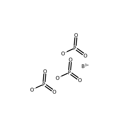 O=P(=O)[O-].O=P(=O)[O-].O=P(=O)[O-].[B+3]